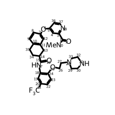 CNC(=O)c1cc(Oc2ccc3c(c2)CC(C(=O)Nc2cc(C(F)(F)F)ccc2OCCN2CCNCC2)CC3)ccn1